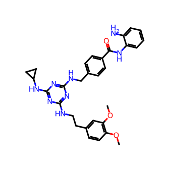 COc1ccc(CCNc2nc(NCc3ccc(C(=O)Nc4ccccc4N)cc3)nc(NC3CC3)n2)cc1OC